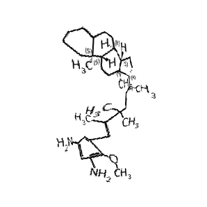 COc1c(N)cc(N)cc1CC(C)C(C)(C)CC[C@@H](C)[C@H]1CC[C@H]2[C@@H]3CCC4CCCC[C@]4(C)[C@H]3CC[C@]12C